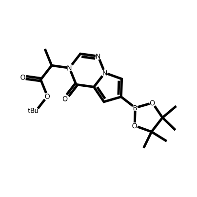 CC(C(=O)OC(C)(C)C)n1cnn2cc(B3OC(C)(C)C(C)(C)O3)cc2c1=O